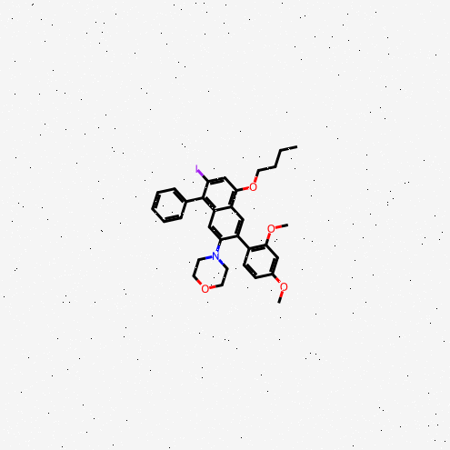 CCCCOc1cc(I)c(-c2ccccc2)c2cc(N3CCOCC3)c(-c3ccc(OC)cc3OC)cc12